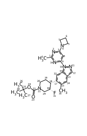 Cc1nc(N2CCC2)cc(-n2ncc3cc(C)c([C@H]4CCN(C(=O)OC(C)(C)C)C[C@H]4F)cc32)n1